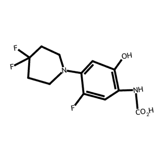 O=C(O)Nc1cc(F)c(N2CCC(F)(F)CC2)cc1O